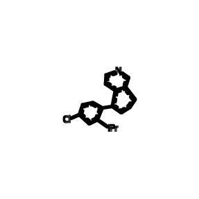 CC(C)c1cc(Cl)ccc1-c1cccc2cnccc12